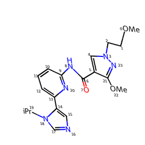 COCCn1cc(C(=O)Nc2cccc(-c3cncn3C(C)C)n2)c(OC)n1